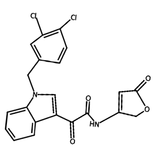 O=C1C=C(NC(=O)C(=O)c2cn(Cc3ccc(Cl)c(Cl)c3)c3ccccc23)CO1